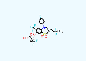 CC(F)(F)CC[C@@H]1CN(c2ccc(F)cc2)c2cc(C(F)(F)F)c(OC[C@@]3(C(=O)O)CC3(F)F)cc2S(=O)(=O)[C@@H]1F